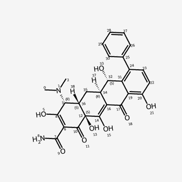 CN(C)[C@H]1C(O)=C(C(N)=O)C(=O)[C@@]2(O)C(O)=C3C(=O)c4c(O)ccc(-c5ccccc5)c4[C@@H](O)[C@@H]3C[C@@H]12